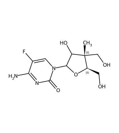 C[C@]1(CO)C(O)C(n2cc(F)c(N)nc2=O)O[C@@H]1CO